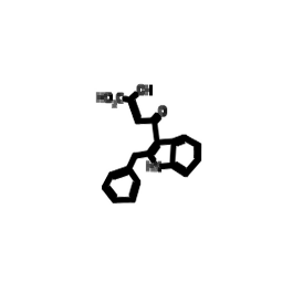 O=C(O)C(O)=CC(=O)c1c(Cc2ccccc2)[nH]c2ccccc12